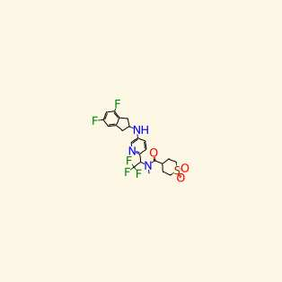 CN(C(=O)C1CCS(=O)(=O)CC1)C(c1ccc(NC2Cc3cc(F)cc(F)c3C2)cn1)C(F)(F)F